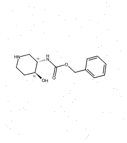 O=C(N[C@H]1CNCC[C@@H]1O)OCc1ccccc1